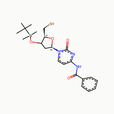 CC(C)(C)[Si](C)(C)OC1C[C@H](n2ccc(NC(=O)c3ccccc3)nc2=O)O[C@@H]1CS